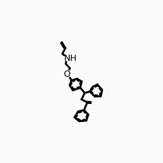 C=CCNCCOc1ccc(C(CC(=C)c2ccccc2)c2ccccc2)cc1